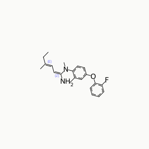 CC/C(C)=C/C=C(/N)N(C)c1ccc(Oc2ccccc2F)cc1C